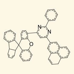 C1=CC2c3ccccc3C3(c4ccccc4Oc4c(-c5cc(-c6cc7c8c(cccc8c6)CC=C7)nc(-c6ccccc6)n5)cccc43)C2C=C1